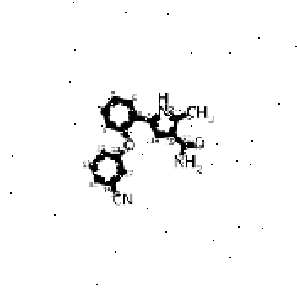 Cc1[nH]c(-c2ccccc2Oc2cccc(C#N)c2)cc1C(N)=O